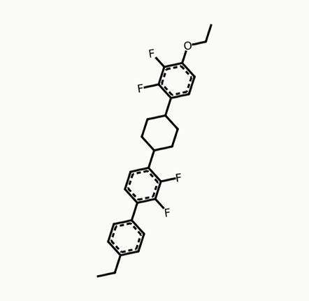 CCOc1ccc(C2CCC(c3ccc(-c4ccc(CC)cc4)c(F)c3F)CC2)c(F)c1F